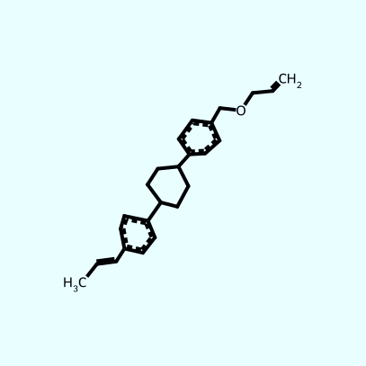 C=CCOCc1ccc(C2CCC(c3ccc(C=CC)cc3)CC2)cc1